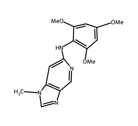 COc1cc(OC)c(Nc2cc3c(cn2)ncn3C)c(OC)c1